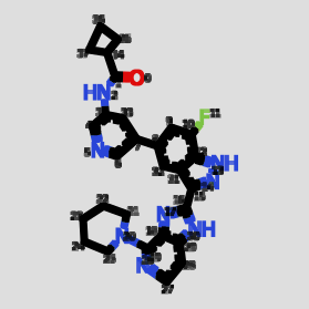 O=C(Nc1cncc(-c2cc(F)c3[nH]nc(-c4nc5c(N6CCCCC6)nccc5[nH]4)c3c2)c1)C1CCC1